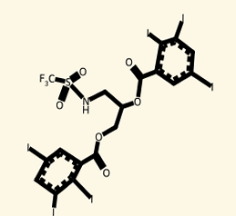 O=C(OCC(CNS(=O)(=O)C(F)(F)F)OC(=O)c1cc(I)cc(I)c1I)c1cc(I)cc(I)c1I